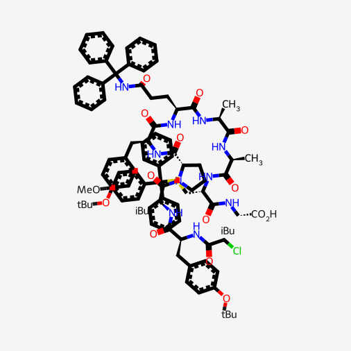 CC[C@H](C)[C@H](NC(=O)[C@H](CSC(c1ccccc1)(c1ccccc1)c1ccc(OC)cc1)NC(=O)[C@H](C)NC(=O)[C@H](C)NC(=O)[C@H](CCC(=O)NC(c1ccccc1)(c1ccccc1)c1ccccc1)NC(=O)[C@H](Cc1ccc(OC(C)(C)C)cc1)NC(=O)[C@@H]1CCCN1C(=O)[C@@H](NC(=O)[C@H](Cc1ccc(OC(C)(C)C)cc1)NC(=O)CCl)[C@@H](C)CC)C(=O)O